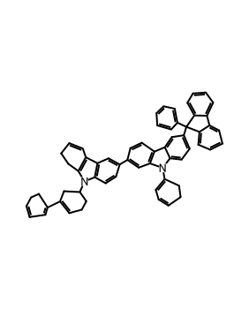 C1=CCCC(C2=CCCC(n3c4c(c5cc(-c6ccc7c8cc(C9(c%10ccccc%10)c%10ccccc%10-c%10ccccc%109)ccc8n(C8=CC=CCC8)c7c6)ccc53)C=CCC4)C2)=C1